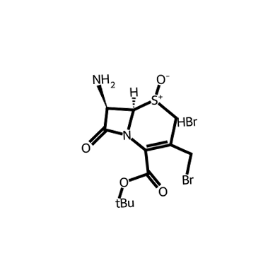 Br.CC(C)(C)OC(=O)C1=C(CBr)C[S+]([O-])[C@@H]2[C@H](N)C(=O)N12